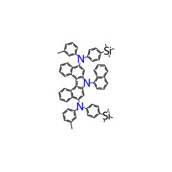 Cc1cccc(N(c2ccc([Si](C)(C)C)cc2)c2cc3c(c4ccccc24)c2c4ccccc4c(N(c4ccc([Si](C)(C)C)cc4)c4cccc(C)c4)cc2n3-c2cccc3ccccc23)c1